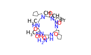 CC(C)C[C@H]1C(=O)N[C@@H](CC2CCCC2)C(=O)N[C@@H](CN)C(=O)N[C@@H]([C@H](C)O)C(=O)N[C@H](C)CN(CC2CCCC2)[C@@H](C)C(=O)N1C